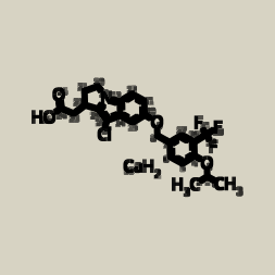 CC(C)Oc1ccc(COc2ccc3c(c2)c(Cl)c2n3CCC2CC(=O)O)cc1C(F)(F)F.[CaH2]